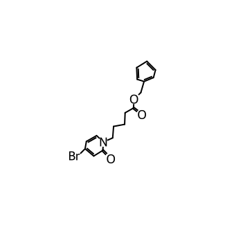 O=C(CCCCn1ccc(Br)cc1=O)OCc1ccccc1